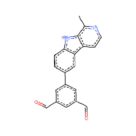 Cc1nccc2c1[nH]c1ccc(-c3cc(C=O)cc(C=O)c3)cc12